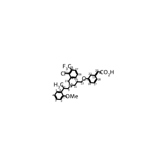 COc1ccccc1C(C)CN(CCCOC1=CC=CC(=CC(=O)O)C1)Cc1cccc(C(F)(F)F)c1Cl